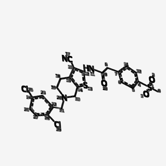 CS(=O)(=O)c1ccc(CC(=O)Nc2sc3c(c2C#N)CCN(Cc2cc(Cl)ccc2Cl)C3)cc1